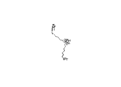 CC(C)CCCCCCCP(O)(O)(O)CCCCCCCC(C)C